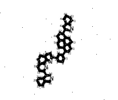 c1cc(-c2ccc3ccc4ccc(-c5cncc6ccccc56)nc4c3n2)cc(-c2ccc3ccc4c(-c5cnc6ccccc6c5)ccc5ccc2c3c54)c1